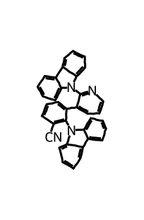 N#Cc1cccc(-c2cccnc2-n2c3ccccc3c3ccccc32)c1-n1c2ccccc2c2ccccc21